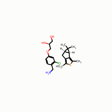 Cc1sc(C(=O)O)c2c1[C@H]1[C@@H](C2)C1(C)C.NCc1ccc(OC[C@@H](O)CO)cc1Cl